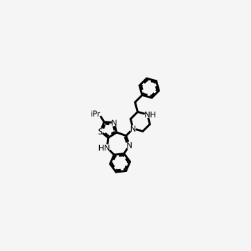 CC(C)c1nc2c(s1)Nc1ccccc1N=C2N1CCNC(Cc2ccccc2)C1